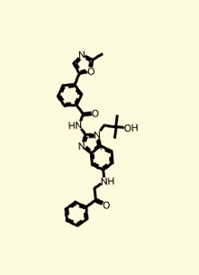 Cc1ncc(-c2cccc(C(=O)Nc3nc4cc(NCC(=O)c5ccccc5)ccc4n3CC(C)(C)O)c2)o1